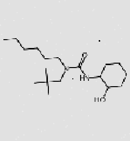 CCCCCCN(CC(C)(C)C)C(=O)NC1CCCCC1O